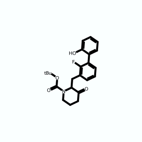 CC(C)(C)OC(=O)N1CCCC(=O)C1Cc1cccc(-c2ccccc2O)c1F